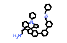 NC/C=C\C1=Cc2ccc(-c3cccc(-c4cccc(/C=N/Cc5ccccc5)c4)c3)cc2C12c1ccccc1N(c1ccccc1)c1ccccc12